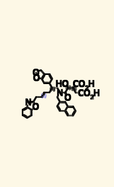 O=C(O)C[C@H](C(=O)O)[C@H](O)C(=O)N(Cc1ccc2ccccc2c1)C[C@H](C/C=C/Cc1nc2ccccc2o1)c1ccc2c(c1)OOC2